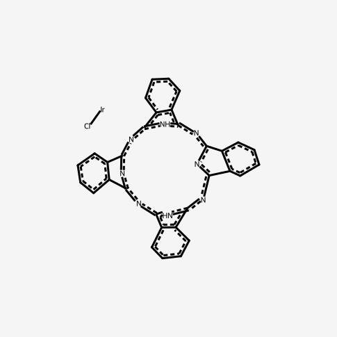 [Cl][Ir].c1ccc2c(c1)-c1nc-2nc2[nH]c(nc3nc(nc4[nH]c(n1)c1ccccc41)-c1ccccc1-3)c1ccccc21